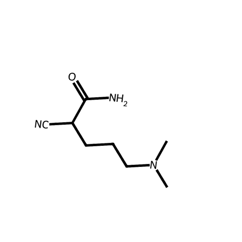 CN(C)CCCC(C#N)C(N)=O